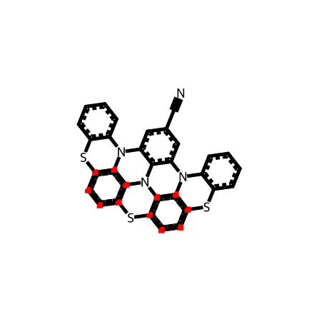 N#Cc1cc(N2c3ccccc3Sc3ccccc32)c(N2c3ccccc3Sc3ccccc32)c(N2c3ccccc3Sc3ccccc32)c1